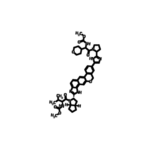 COC(=O)NC(C(=O)N1CCCC1c1ncc(-c2ccc3c(c2)COc2cc4c(ccc5nc([C@@H]6C[C@@H]7CCC[C@@H]7N6C(=O)[C@@H](NC(=O)OC)C(C)C)[nH]c54)cc2-3)[nH]1)C1CCOCC1